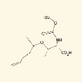 C=CCCC(C)O[C@@H](C)[C@H](NC(=O)OC(C)(C)C)C(=O)O